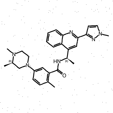 Cc1ccc(N2CCN(C)[C@H](C)C2)cc1C(=O)N[C@H](C)c1cc(-c2ccn(C)n2)nc2ccccc12